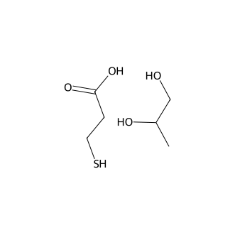 CC(O)CO.O=C(O)CCS